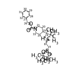 CC(C)(C)C(C)(CCCCB1OC(C)(C)C(C)(C)O1)C1CCN(C(=O)OCc2ccccc2)CC1